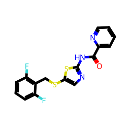 O=C(Nc1ncc(SCc2c(F)cccc2F)s1)c1ccccn1